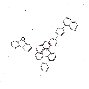 c1ccc(-c2ccccc2-c2c(-c3ccccc3)cccc2N(c2ccc(-c3ccc(-c4cccc5ccccc45)cc3)cc2)c2ccc(-c3ccc4c(c3)oc3ccccc34)cc2)cc1